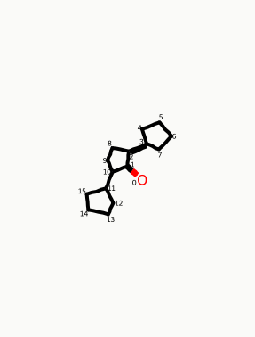 O=C1C(=C2CCCC2)CCC1C1CCCC1